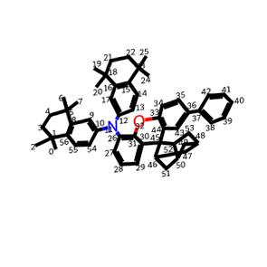 CC1(C)CCC(C)(C)c2cc(N(c3ccc4c(c3)C(C)(C)CCC4(C)C)c3cccc4c3Oc3ccc(-c5ccccc5)cc3C43C4CC5CC(C4)C3C5)ccc21